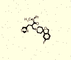 CC(C)N(C)C(=O)C(Cc1cscn1)CN1CCC2(CC1)OCc1ccc(F)cc12